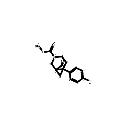 CC(C)(C)OC(=O)N1CCC2(c3ccc(Cl)cc3)CC2(CO)C1